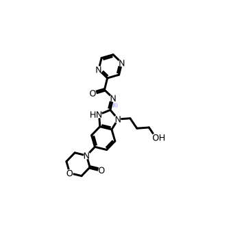 O=C(/N=c1\[nH]c2cc(N3CCOCC3=O)ccc2n1CCCO)c1cnccn1